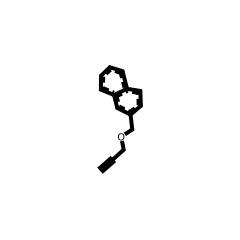 C#CCOCc1ccc2ccccc2c1